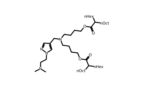 CCCCCCCCC(CCCCCC)C(=O)OCCCCN(CCCCOC(=O)C(CCCCCC)CCCCCCCC)Cc1cnn(CCN(C)C)c1